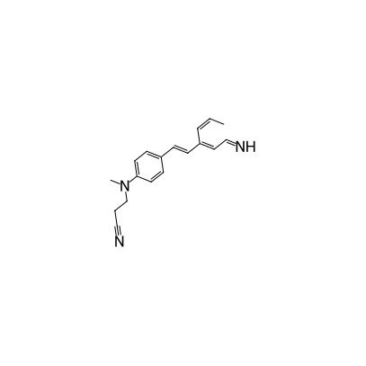 C\C=C/C(/C=C/c1ccc(N(C)CCC#N)cc1)=C\C=N